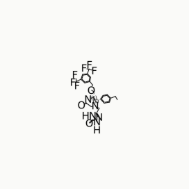 CCc1ccc([C@H]2[C@@H](COCc3cc(C(F)(F)F)cc(C(F)(F)F)c3)N(C)C(=O)CN2Cc2n[nH]c(=O)[nH]2)cc1